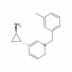 Cc1cccc(CN2C=C([C@@H]3C[C@H]3N)C=CC2)c1